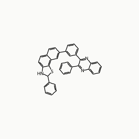 c1ccc(-c2nc3ccccc3nc2-c2cccc(-c3ccc4ccc5c(c4c3)SC(c3ccccc3)N5)c2)cc1